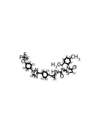 CCc1ccc(C)cc1N1C(=O)CS/C1=N\C(=O)NC1CC1c1ccc(-c2ncn(-c3ccc(OC(F)(F)F)cc3)n2)cc1